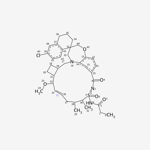 CCC(=O)NS1(=O)=NC(=O)c2ccc3c(c2)N(CC2CCC2C(OC)/C=C/CC(C)C1C)CC1(CCCc2cc(Cl)ccc21)CO3